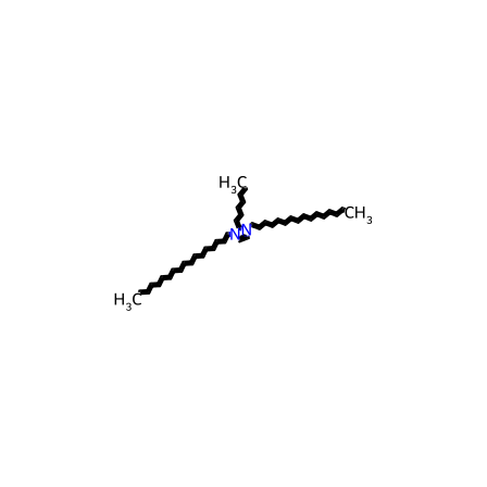 CCCCCCCCCCCCCCCCCCN1C=CN(CCCCCCCCCCCCCCCC)C1CCCCCCC